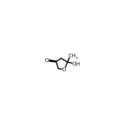 CC1(O)CC(=O)CO1